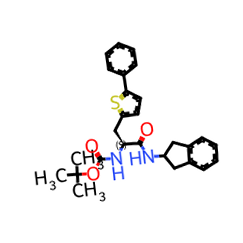 CC(C)(C)OC(=O)N[C@@H](Cc1ccc(-c2ccccc2)s1)C(=O)NC1Cc2ccccc2C1